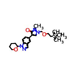 Cn1c(=O)c(-c2ccc3c(cnn3C3CCCCO3)c2)cn1COCC[Si](C)(C)C